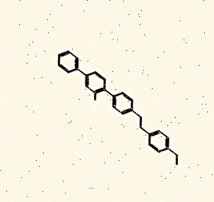 CCc1ccc(CCc2ccc(-c3ccc(-c4ccccc4)cc3F)cc2)cc1